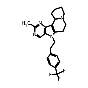 Cc1ncc2c(n1)c1c(n2CCc2ccc(C(F)(F)F)cc2)CCN2CCCCC12